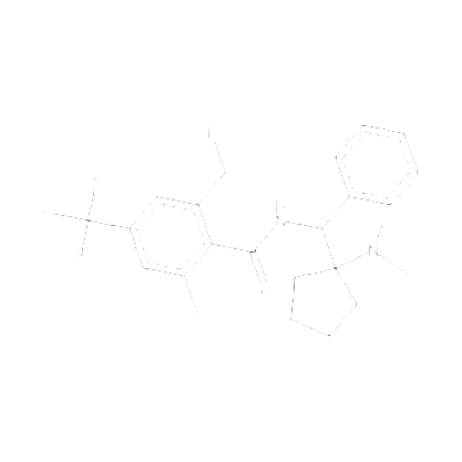 Cc1cc(C(F)(F)F)cc(CF)c1C(=O)NC(c1ccccc1)C1(N(C)C)CCCC1